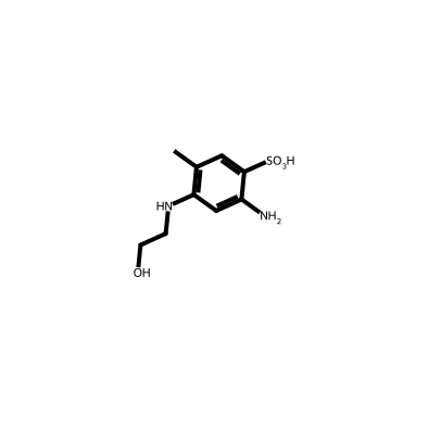 Cc1cc(S(=O)(=O)O)c(N)cc1NCCO